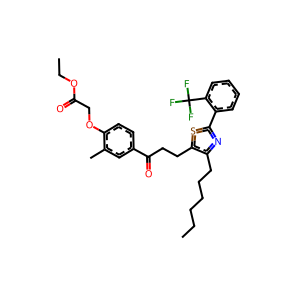 CCCCCCc1nc(-c2ccccc2C(F)(F)F)sc1CCC(=O)c1ccc(OCC(=O)OCC)c(C)c1